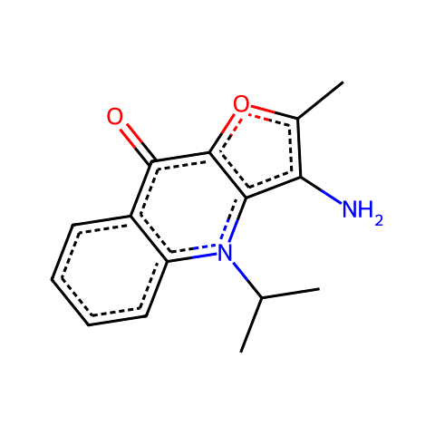 Cc1oc2c(=O)c3ccccc3n(C(C)C)c2c1N